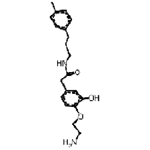 Cc1ccc(CCCNC(=O)Cc2ccc(OCCN)c(O)c2)cc1